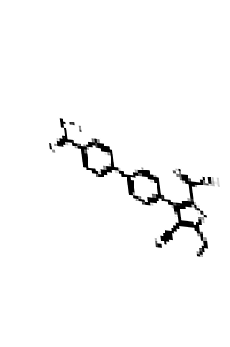 CCc1sc(C(=O)O)c(-c2ccc(-c3ccc(C(N)=O)cc3)cc2)c1C#N